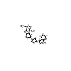 CN1CC[C@@](O)(c2cccc(-n3cc(-c4c[nH]c5ncccc45)nn3)c2)C1=O